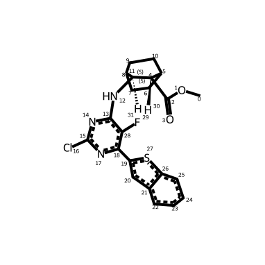 COC(=O)[C@H]1C2CCC(CC2)[C@@H]1Nc1nc(Cl)nc(-c2cc3ccccc3s2)c1F